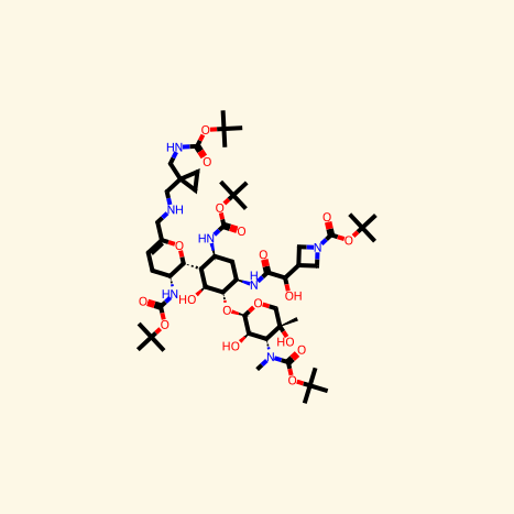 CN(C(=O)OC(C)(C)C)[C@@H]1[C@@H](O)[C@@H](O[C@H]2[C@H](NC(=O)C(O)C3CN(C(=O)OC(C)(C)C)C3)C[C@H](NC(=O)OC(C)(C)C)C([C@H]3OC(CNCC4(CNC(=O)OC(C)(C)C)CC4)=CC[C@H]3NC(=O)OC(C)(C)C)[C@@H]2O)OC[C@]1(C)O